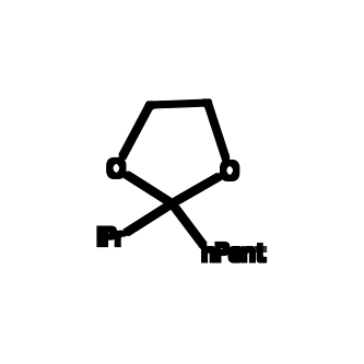 CCCCCC1(C(C)C)OCCO1